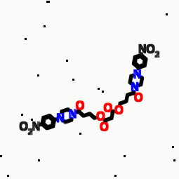 O=C(CC(=O)OCCCC(=O)N1CCN(c2ccc([N+](=O)[O-])cc2)CC1)OCCCC(=O)N1CCN(c2ccc([N+](=O)[O-])cc2)CC1